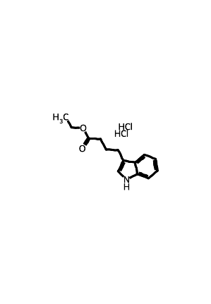 CCOC(=O)CCCc1c[nH]c2ccccc12.Cl.Cl